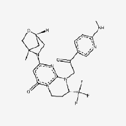 CNc1ccc(C(=O)CN2c3nc(N4C[C@@H]5CC4(C)CO5)cc(=O)n3CC[C@H]2C(F)(F)F)cn1